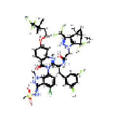 Cn1nc(NS(C)(=O)=O)c2c(Cl)ccc(-n3c([C@H](Cc4cc(F)cc(F)c4)NC(=O)Cn4nc(C(F)F)c5c4C(F)(F)[C@@H]4C[C@H]54)nc4cc(OCCC(C)(C)C(F)(F)F)ccc4c3=O)c21